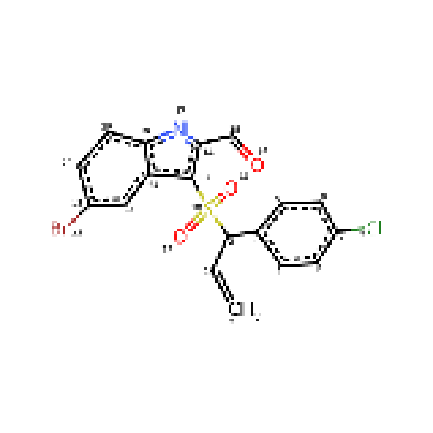 C=CC(c1ccc(Cl)cc1)S(=O)(=O)c1c(C=O)[nH]c2ccc(Br)cc12